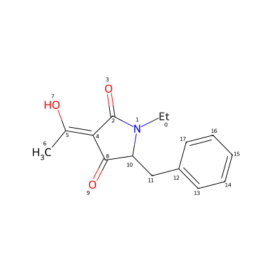 CCN1C(=O)C(=C(C)O)C(=O)C1Cc1ccccc1